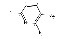 CCc1nc(C)ccc1C(C)=O